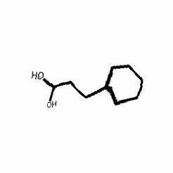 OC(O)CCC1CCCCC1